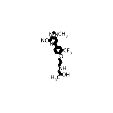 C[C@@H](O)CNCCCOc1ccc(-c2cc3c(ncn3C)c(C#N)n2)cc1C(F)(F)F